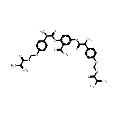 C=C(C)C(=O)OCOc1ccc(C(C)C(=O)Oc2ccc(OC(=O)C(C)c3ccc(OCOC(=O)C(=C)C)cc3)c(C(C)=O)c2)cc1